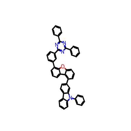 c1ccc(-c2nc(-c3ccccc3)nc(-c3cccc(-c4cccc5c4oc4cccc(-c6ccc7c8ccccc8n(-c8ccccc8)c7c6)c45)c3)n2)cc1